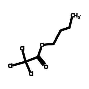 [CH2]CCCOC(=O)C(Cl)(Cl)Cl